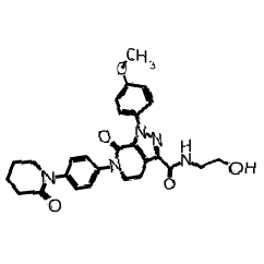 COc1ccc(-n2nc(C(=O)NCCO)c3c2C(=O)N(c2ccc(N4CCCCC4=O)cc2)CC3)cc1